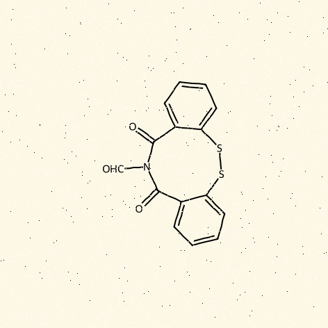 O=Cn1c(=O)c2ccccc2ssc2ccccc2c1=O